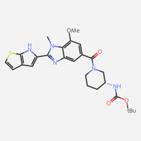 COc1cc(C(=O)N2CCC[C@@H](NC(=O)OC(C)(C)C)C2)cc2nc(-c3cc4ccsc4[nH]3)n(C)c12